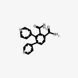 NC(=O)c1ccc(-c2ccncc2)c(-c2ccncc2)c1C(N)=O